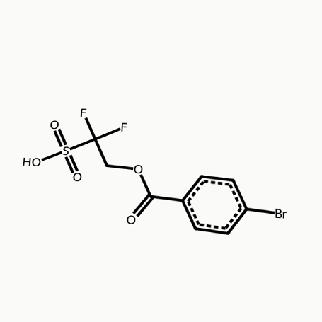 O=C(OCC(F)(F)S(=O)(=O)O)c1ccc(Br)cc1